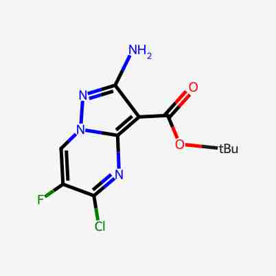 CC(C)(C)OC(=O)c1c(N)nn2cc(F)c(Cl)nc12